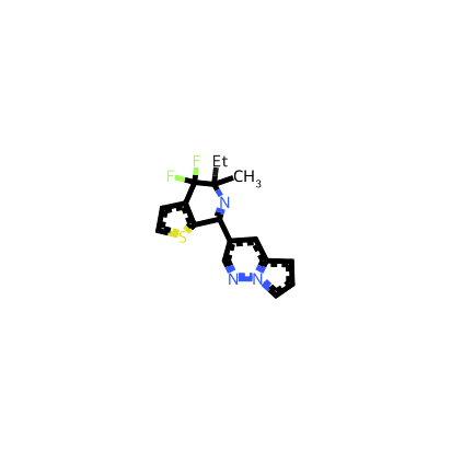 CCC1(C)N=C(c2cnn3cccc3c2)c2sccc2C1(F)F